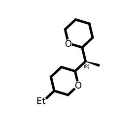 CCC1CCC([C@H](C)C2CCCCO2)OC1